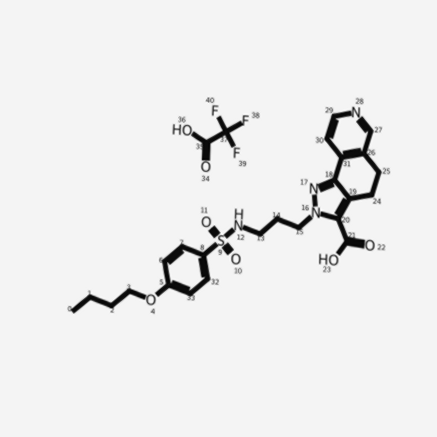 CCCCOc1ccc(S(=O)(=O)NCCCn2nc3c(c2C(=O)O)CCc2cnccc2-3)cc1.O=C(O)C(F)(F)F